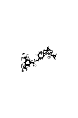 O=C(NCC1CCN(CC2(NS(=O)(=O)C3CC3)CC2)CC1)c1cc(C(F)(F)F)cc(C(F)(F)F)c1